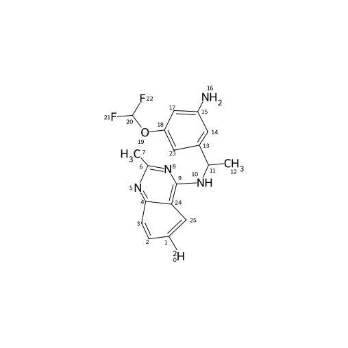 [2H]c1ccc2nc(C)nc(NC(C)c3cc(N)cc(OC(F)F)c3)c2c1